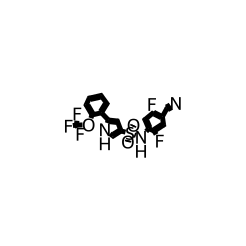 N#Cc1cc(F)c(NS(=O)(=O)c2c[nH]c(-c3ccccc3OC(F)(F)F)c2)cc1F